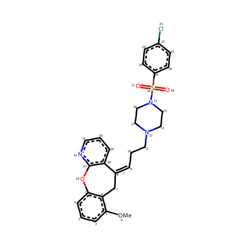 COc1cccc2c1C/C(=C/CCN1CCN(S(=O)(=O)c3ccc(Cl)cc3)CC1)c1cccnc1O2